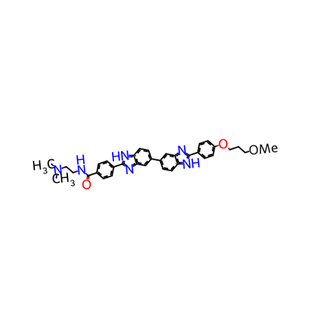 COCCCOc1ccc(-c2nc3cc(-c4ccc5[nH]c(-c6ccc(C(=O)NCCN(C)C)cc6)nc5c4)ccc3[nH]2)cc1